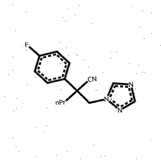 CCCC(C#N)(Cn1cncn1)c1ccc(F)cc1